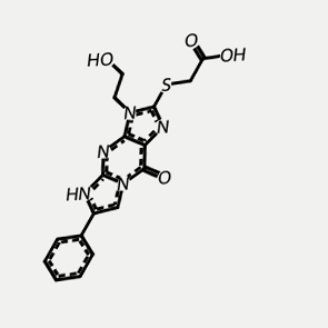 O=C(O)CSc1nc2c(=O)n3cc(-c4ccccc4)[nH]c3nc2n1CCO